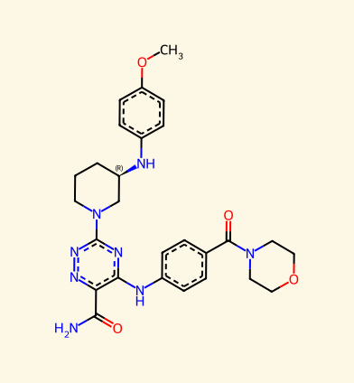 COc1ccc(N[C@@H]2CCCN(c3nnc(C(N)=O)c(Nc4ccc(C(=O)N5CCOCC5)cc4)n3)C2)cc1